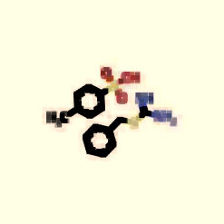 Cc1ccc(S(=O)(=O)O)cc1.N=C(N)SCc1ccccc1